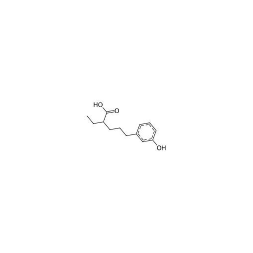 CCC(CCCc1cccc(O)c1)C(=O)O